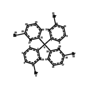 Brc1cccc(C(c2cccc(Br)n2)(c2cccc(Br)n2)c2cccc(Br)n2)n1